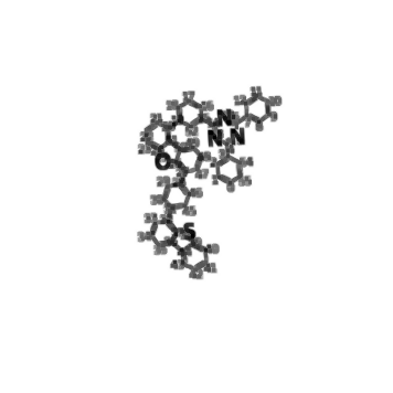 c1ccc(-c2nc(-c3ccccc3)nc(-c3cccc(-c4cccc5oc6c(-c7ccc(-c8cccc9c8sc8ccccc89)cc7)cccc6c45)c3)n2)cc1